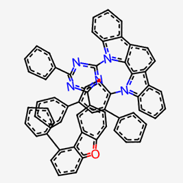 c1ccc(-c2ccc(-n3c4ccccc4c4ccc5c6ccccc6n(-c6nc(-c7ccccc7)nc(-c7ccc8oc9cccc(-c%10ccccc%10)c9c8c7)n6)c5c43)c(-c3ccccc3)c2)cc1